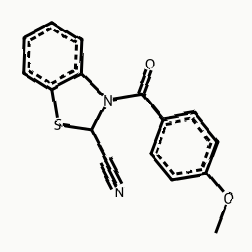 COc1ccc(C(=O)N2c3ccccc3SC2C#N)cc1